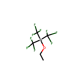 CCO[Si](C(F)(F)F)(C(F)(F)F)C(F)(F)F